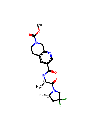 C[C@@H](NC(=O)c1cnc2c(c1)CCN(C(=O)OC(C)(C)C)C2)C(=O)N1CC(F)(F)C[C@H]1C#N